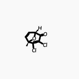 C[C@@]12C=C[C@@H](O1)C(=O)C(Cl)=C2Cl